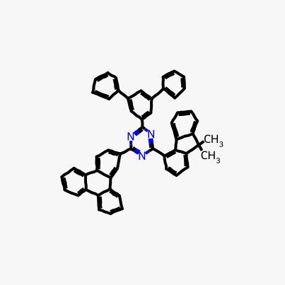 CC1(C)c2ccccc2-c2c(-c3nc(-c4cc(-c5ccccc5)cc(-c5ccccc5)c4)nc(-c4ccc5c6ccccc6c6ccccc6c5c4)n3)cccc21